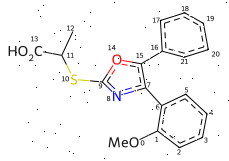 COc1ccccc1-c1nc(SC(C)C(=O)O)oc1-c1ccccc1